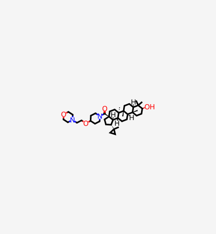 CC1([C@@H]2CC[C@]3(C(=O)N4CCC(OCCN5CCOCC5)CC4)CC[C@]4(C)[C@H](CC[C@@H]5[C@@]6(C)CC[C@H](O)C(C)(C)[C@@H]6CC[C@]54C)[C@@H]23)CC1